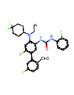 CC(C)CN(c1cc(F)c(-c2cc(F)ccc2C=O)cc1NC(=O)Nc1ccccc1F)C1CCC(F)(F)CC1